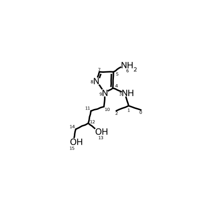 CC(C)Nc1c(N)cnn1CCC(O)CO